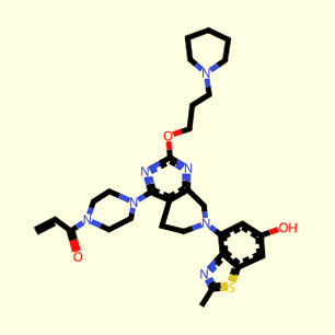 C=CC(=O)N1CCN(c2nc(OCCCN3CCCCC3)nc3c2CCN(c2cc(O)cc4sc(C)nc24)C3)CC1